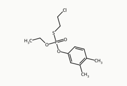 CCOP(=O)(Oc1ccc(C)c(C)c1)SCCCl